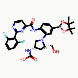 CC1(C)OB(c2ccc(NC(=O)c3ccnc(-c4c(F)cccc4F)n3)c(N3C[C@@H](NC(=O)O)C[C@H]3CO)c2)OC1(C)C